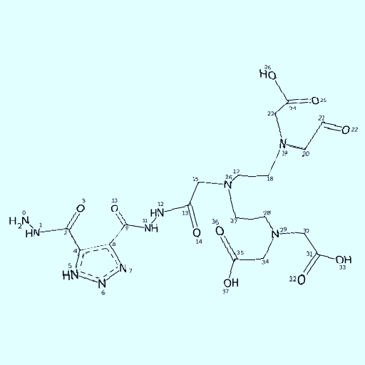 NNC(=O)c1[nH]nnc1C(=O)NNC(=O)CN(CCN(CC=O)CC(=O)O)CCN(CC(=O)O)CC(=O)O